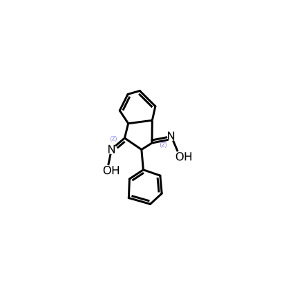 O/N=C1\C(c2ccccc2)/C(=N\O)C2C=CC=CC12